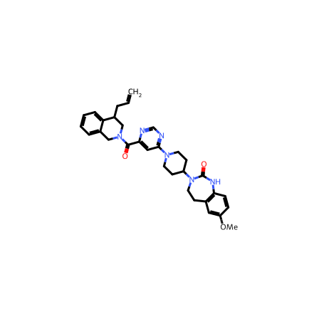 C=CCC1CN(C(=O)c2cc(N3CCC(N4CCc5cc(OC)ccc5NC4=O)CC3)ncn2)Cc2ccccc21